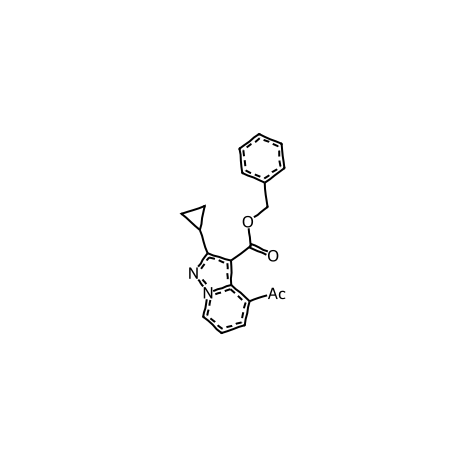 CC(=O)c1cccn2nc(C3CC3)c(C(=O)OCc3ccccc3)c12